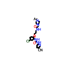 CC(=O)N1CCN(CC(=O)NCCCOc2ccc(Cl)cc2NC(=O)Nc2ccc(C#N)cn2)CC1